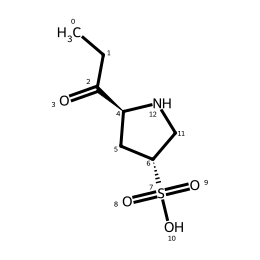 CCC(=O)[C@@H]1C[C@@H](S(=O)(=O)O)CN1